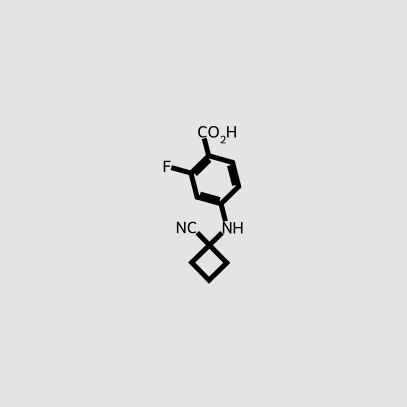 N#CC1(Nc2ccc(C(=O)O)c(F)c2)CCC1